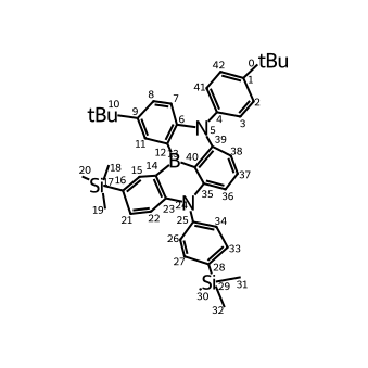 CC(C)(C)c1ccc(N2c3ccc(C(C)(C)C)cc3B3c4cc([Si](C)(C)C)ccc4N(c4ccc([Si](C)(C)C)cc4)c4cccc2c43)cc1